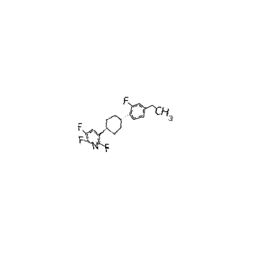 CCc1ccc([C@H]2CC[C@H](c3cc(F)c(F)nc3F)CC2)c(F)c1